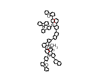 CC1(C)c2cc(-c3ccc4ccc(-c5ccc(-c6ccccc6)c(N(c6ccc(-c7ccccc7-n7c8ccccc8c8ccccc87)cc6)c6ccc(-c7cccc8c7oc7ccccc78)cc6)c5)cc4c3)ccc2-c2cccc(-c3ccc(N(c4ccc(-c5cccc6c5oc5ccccc56)cc4)c4cc(-c5ccc6ccccc6c5)ccc4-c4ccccc4)cc3)c21